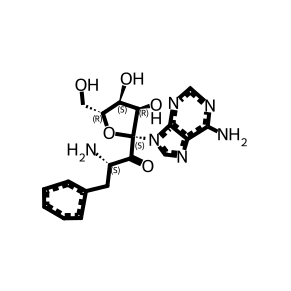 Nc1ncnc2c1ncn2[C@]1(C(=O)[C@@H](N)Cc2ccccc2)O[C@H](CO)[C@@H](O)[C@H]1O